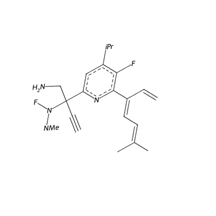 C#CC(CN)(c1cc(C(C)C)c(F)c(/C(C=C)=C/C=C(C)C)n1)N(F)NC